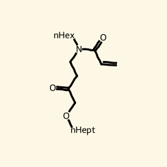 C=CC(=O)N(CCCCCC)CCC(=O)COCCCCCCC